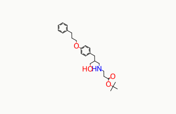 CC(C)(C)OC(=O)CCNCC(CO)Cc1ccc(OCCCc2ccccc2)cc1